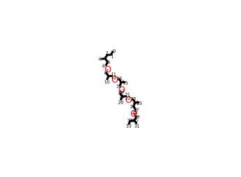 CCCC(C)CCOCC(C)COCC(C)COCC(C)COCC(C)CCOCC(C)CC